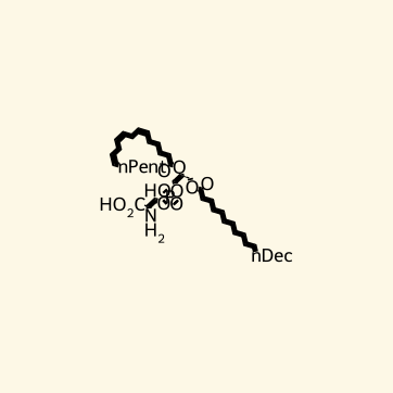 CCCCC/C=C\C/C=C\C/C=C\CCCCC(=O)O[C@H](COC(=O)CCCCCCCCCCCCCCCCCCCC)COP(=O)(O)OC[C@H](N)C(=O)O